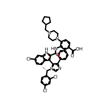 C[C@@H](c1ccc(Cl)cc1Cl)n1cnc(-c2ccccc2)c1-c1c(C(=O)Nc2cc(C(=O)O)ccc2N2CCN(CC3CCCC3)CC2)[nH]c2cc(Cl)ccc12